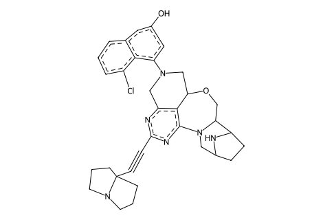 Oc1cc(N2Cc3nc(C#CC45CCCN4CCC5)nc4c3C(C2)OCC2C3CCC(CN42)N3)c2c(Cl)cccc2c1